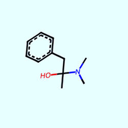 CN(C)C(C)(O)Cc1ccccc1